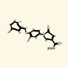 CNC(=O)C1CC(=O)N(c2ccc(OCc3cccc(F)c3)c(F)c2)C1